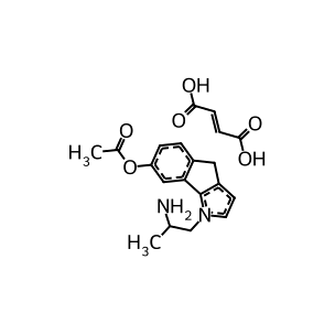 CC(=O)Oc1ccc2c(c1)-c1c(ccn1CC(C)N)C2.O=C(O)/C=C/C(=O)O